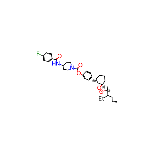 C=CCC(CC)[C@]1(C)C[C@]2(CCC[C@@H](c3ccc(OC(=O)N4CCC(NC(=O)c5ccc(F)cc5)CC4)cc3)C2)OO1